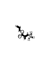 C=CCOC(=O)C(C)=C[Si](C)(C)C